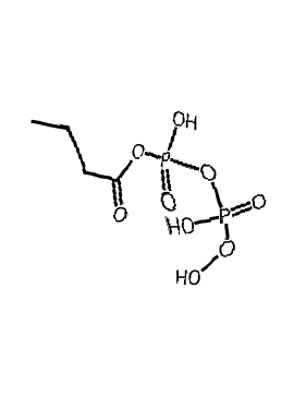 CCCC(=O)OP(=O)(O)OP(=O)(O)OO